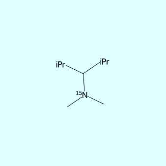 CC(C)C(C(C)C)[15N](C)C